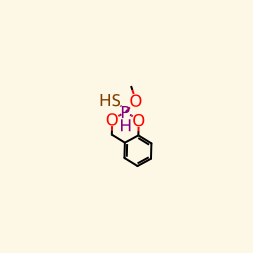 CO[PH]1(S)OCc2ccccc2O1